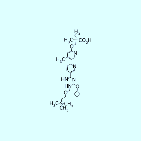 Cc1cc(OCC(C)(C)C(=O)O)ncc1-c1ccc(C(=N)/N=C(\NCOCCS(C)(C)C)OC2CCC2)cn1